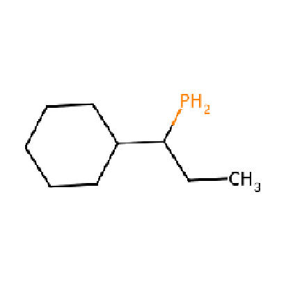 CCC(P)C1CCCCC1